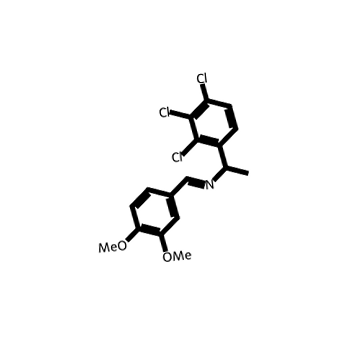 COc1ccc(C=NC(C)c2ccc(Cl)c(Cl)c2Cl)cc1OC